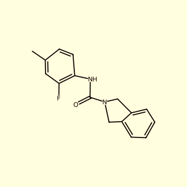 Cc1ccc(NC(=O)N2Cc3ccccc3C2)c(F)c1